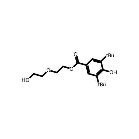 CC(C)(C)c1cc(C(=O)OCCOCCO)cc(C(C)(C)C)c1O